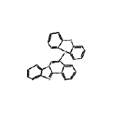 c1ccc2c(c1)Oc1ccccc1N2c1cn2c3ccccc3nc2c2ccccc12